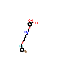 OCc1cc(OCCNCCCCCCOCC(F)(F)c2cccc(Br)c2)ccc1O